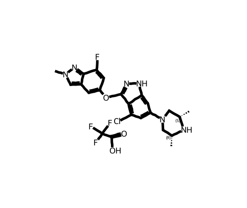 C[C@@H]1CN(c2cc(Cl)c3c(Oc4cc(F)c5nn(C)cc5c4)n[nH]c3c2)C[C@H](C)N1.O=C(O)C(F)(F)F